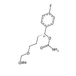 COCOCCC[C@@H](OC(N)=O)c1ccc(F)cc1